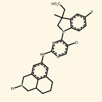 CCN1Cc2cc(Nc3ncc(Cl)c(N4CC(C)(CC(=O)O)c5cc(F)ccc54)n3)cc3c2C(CCC3)C1